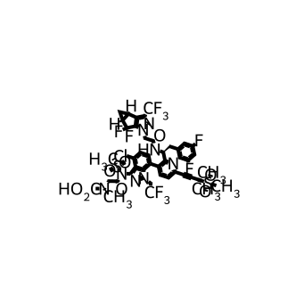 CN(CC(=O)N(c1nn(CC(F)(F)F)c2c(-c3ccc(C#CC(C)(C)S(C)(=O)=O)nc3[C@H](Cc3cc(F)cc(F)c3)NC(=O)Cn3nc(C(F)(F)F)c4c3C(F)(F)[C@@H]3C[C@H]43)ccc(Cl)c12)S(C)(=O)=O)C(=O)O